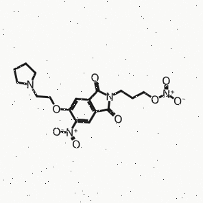 O=C1c2cc(OCCN3CCCC3)c([N+](=O)[O-])cc2C(=O)N1CCCO[N+](=O)[O-]